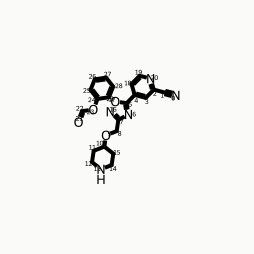 N#Cc1cc(-c2nc(COC3CCNCC3)no2)ccn1.O=COc1ccccc1